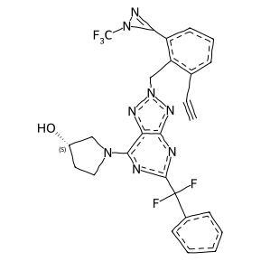 C#Cc1cccc(C2=NN2C(F)(F)F)c1Cn1nc2nc(C(F)(F)c3ccccc3)nc(N3CC[C@H](O)C3)c2n1